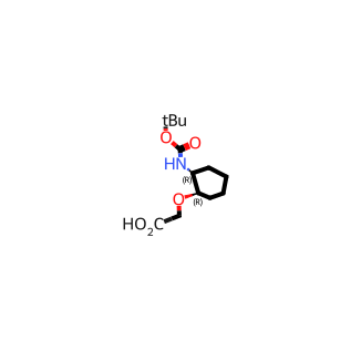 CC(C)(C)OC(=O)N[C@@H]1CCCC[C@H]1OCC(=O)O